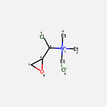 CC[N+](CC)(CC)C(Cl)C1CO1.[Cl-]